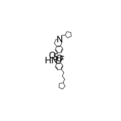 O=S(=O)(Nc1ccc(CCCC2CCCC2)cc1F)c1ccc2c(c1)CCN(CC1CCCC1)C2